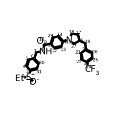 CC[S+]([O-])c1ccc(CNC(=O)c2ccc(N3CCC(Cc4ccc(C(F)(F)F)cc4)C3)cc2)cc1